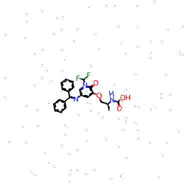 CC(COc1cc(N=C(c2ccccc2)c2ccccc2)cn(C(F)F)c1=O)NC(=O)O